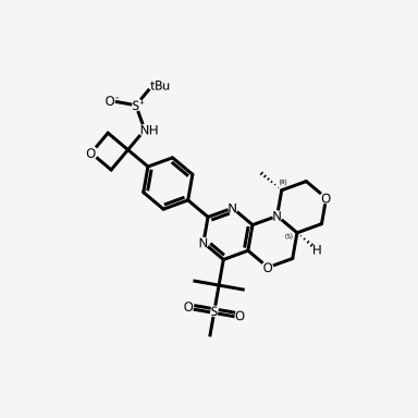 C[C@@H]1COC[C@H]2COc3c(nc(-c4ccc(C5(N[S+]([O-])C(C)(C)C)COC5)cc4)nc3C(C)(C)S(C)(=O)=O)N21